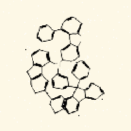 C1=CCCC(C2=CC3=C(CC2)Cc2cccc(N(c4cccc(C5(c6ccccc6)c6ccccc6-c6ccccc65)c4)C4C=c5c(sc6cccc(-c7ccccc7)c56)=CC4)c23)=C1